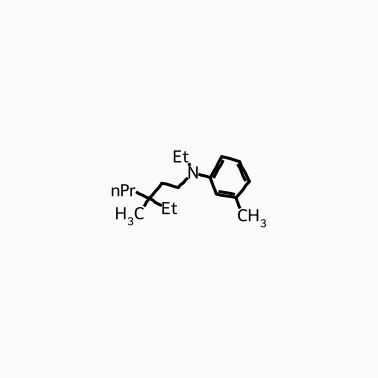 CCCC(C)(CC)CCN(CC)c1cccc(C)c1